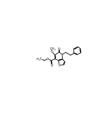 CCOC(=O)c1c(OC)c(=O)n(CCc2ccccc2)c2ccsc12